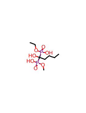 CCCCC(O)(P(=O)(O)OC)P(=O)(O)OCC